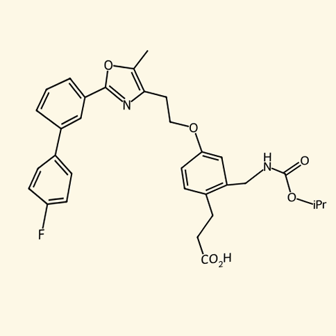 Cc1oc(-c2cccc(-c3ccc(F)cc3)c2)nc1CCOc1ccc(CCC(=O)O)c(CNC(=O)OC(C)C)c1